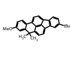 COc1ccc2c(c1)C(C)(C)c1ccc3c4c(ccc-2c14)-c1ccc(C(C)(C)C)cc1-3